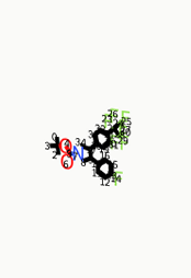 CC(C)(C)OC(=O)N1CC(c2ccc(F)cc2)C(c2ccc(C(F)(C(F)(F)F)C(F)(F)F)cc2)C1